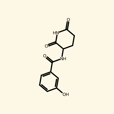 O=C1CCC(NC(=O)c2cccc(O)c2)C(=O)N1